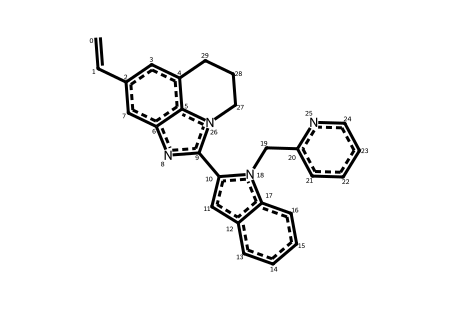 C=Cc1cc2c3c(c1)nc(-c1cc4ccccc4n1Cc1ccccn1)n3CCC2